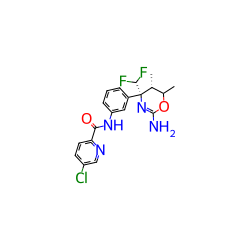 CC1OC(N)=N[C@](c2cccc(NC(=O)c3ccc(Cl)cn3)c2)(C(F)F)[C@@H]1C